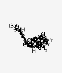 CC(C)[C@@H](CS(=O)(=O)C(C)C)N1C(=O)[C@@](C)(CC(=O)Nc2ccc(C(=O)NCCCOCCCNC(=O)OC(C)(C)C)cc2)C[C@H](c2cccc(Cl)c2)[C@H]1c1ccc(Cl)cc1